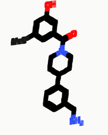 CSc1cc(O)cc(C(=O)N2CCC(c3cccc(CN)c3)CC2)c1